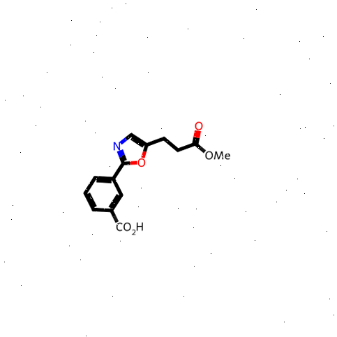 COC(=O)CCc1cnc(-c2cccc(C(=O)O)c2)o1